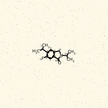 CC(C)c1cc2c(cc1F)C(=O)N(C(C)C)C2